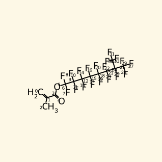 C=C(C)C(=O)OC(F)(F)C(F)(F)C(F)(F)C(F)(F)C(F)(F)C(F)(F)C(F)(C(F)(F)F)C(F)(F)F